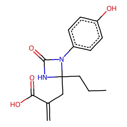 C=C(CC1(CCC)NC(=O)N1c1ccc(O)cc1)C(=O)O